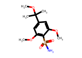 COc1cc(C(C)(C)OC)cc(OC)c1S(N)(=O)=O